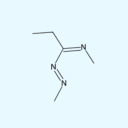 CCC(N=NC)=NC